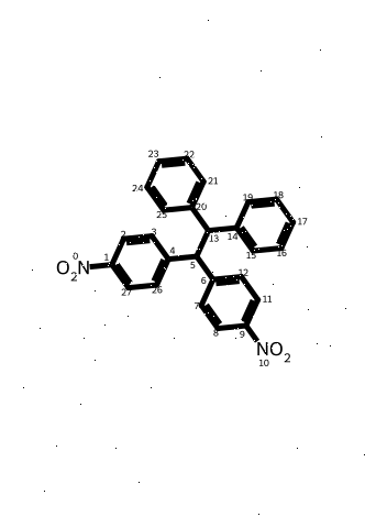 O=[N+]([O-])c1ccc(C(c2ccc([N+](=O)[O-])cc2)C(c2ccccc2)c2ccccc2)cc1